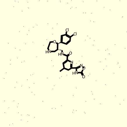 CC1C=C(C(=O)NC[C@@H]2CNCCO[C@H]2c2ccc(Cl)c(Cl)c2)N=C(c2noc(=O)[nH]2)C1